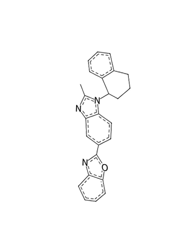 Cc1nc2cc(-c3nc4ccccc4o3)ccc2n1C1CCCc2ccccc21